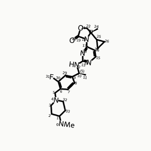 CNC1CCN(Cc2ccc([C@H](C)Nc3nccc(N4C(=O)OC[C@]4(C)C4CC4)n3)cc2F)CC1